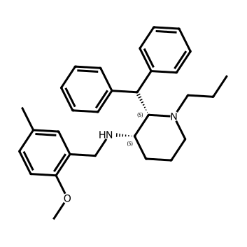 CCCN1CCC[C@H](NCc2cc(C)ccc2OC)[C@@H]1C(c1ccccc1)c1ccccc1